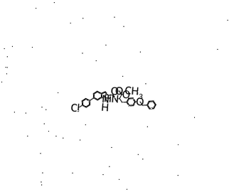 COC(=O)C(Cc1ccc(OCc2ccccc2)cc1)NC(=O)c1cc2ccc(-c3ccc(Cl)cc3)cc2[nH]1